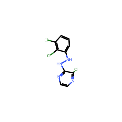 Clc1cccc(NNc2nccnc2Cl)c1Cl